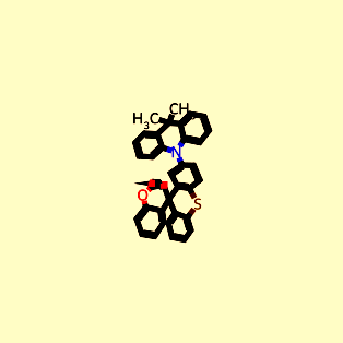 CC1(C)c2ccccc2N(c2ccc3c(c2)C2(c4ccccc4Oc4ccccc42)c2ccccc2S3)c2ccccc21